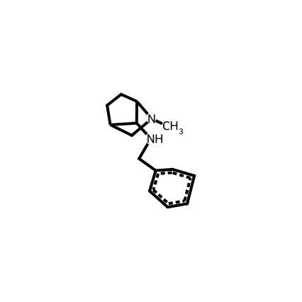 CN1CC2CCC1C2NCc1ccccc1